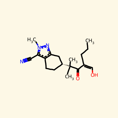 CCC/C(=C/O)C(=O)C(C)(C)[C@@H]1CCc2c(nn(C)c2C#N)C1